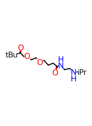 CC(C)NCCNC(=O)CCCOCCOCC(=O)C(C)(C)C